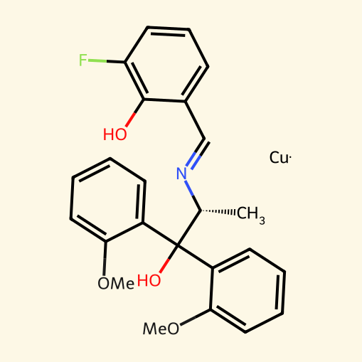 COc1ccccc1C(O)(c1ccccc1OC)[C@@H](C)N=Cc1cccc(F)c1O.[Cu]